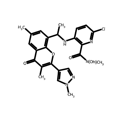 Cc1cc(C(C)Nc2ccc(Cl)nc2C(=O)N(C)O)c2oc(-c3cnn(C)c3)c(C)c(=O)c2c1